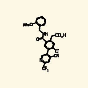 COc1ccccc1CNC(=O)c1cc(-c2cnc(C(F)(F)F)cc2C#N)c(Cl)cc1CC(=O)O